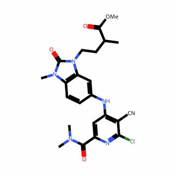 COC(=O)C(C)CCn1c(=O)n(C)c2ccc(Nc3cc(C(=O)N(C)C)nc(Cl)c3C#N)cc21